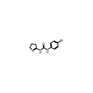 O=C(NC1=NCCC1)Nc1ccc(Br)cc1